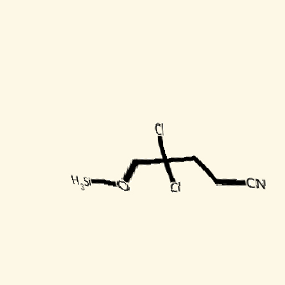 N#CCCC(Cl)(Cl)CO[SiH3]